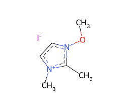 COn1cc[n+](C)c1C.[I-]